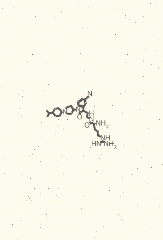 CC(C)C1CCC(N2CCC(N3C(=O)C(CCNC(=O)[C@@H](N)CCCNC(=N)N)c4cc(C#N)ccc43)CC2)CC1